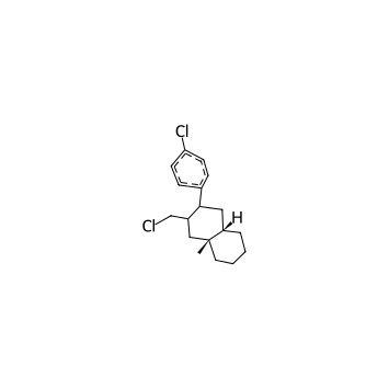 C[C@]12CCCC[C@H]1CC(c1ccc(Cl)cc1)C(CCl)C2